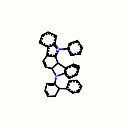 c1ccc2c(c#1)C1c3c(c4ccccc4n3-c3ccccc3)C=CC1N2C1=CC=CCC1c1ccccc1